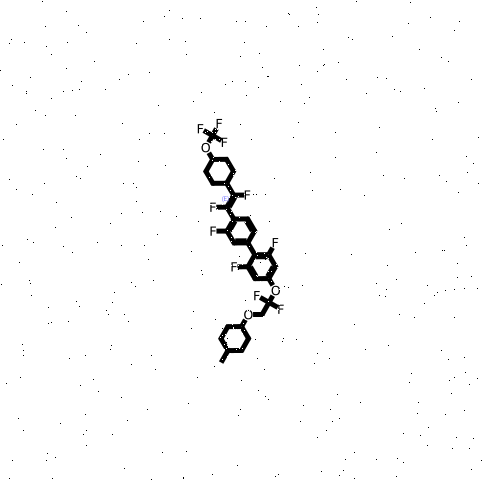 CC1CCC(OCC(F)(F)Oc2cc(F)c(-c3ccc(/C(F)=C(\F)C4CCC(OC(F)(F)F)CC4)c(F)c3)c(F)c2)CC1